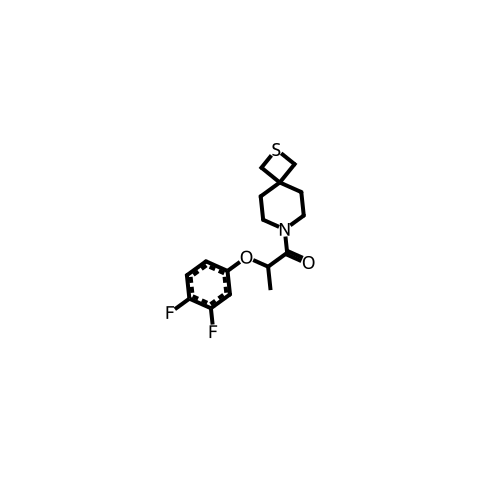 CC(Oc1ccc(F)c(F)c1)C(=O)N1CCC2(CC1)CSC2